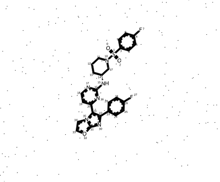 O=S(=O)(c1ccc(F)cc1)N1CCC[C@@H](Nc2nccc(-c3c(-c4ccc(F)cc4)nc4occn34)n2)C1